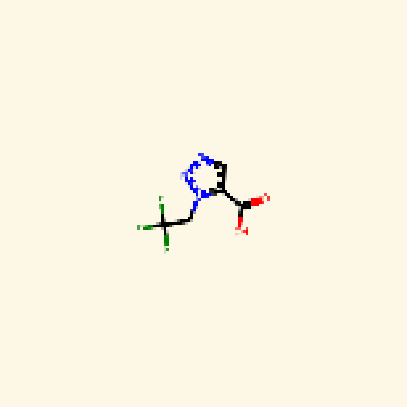 O=C(O)c1cnnn1CC(F)(F)F